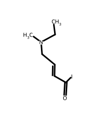 CCN(C)C/C=C/C(=O)I